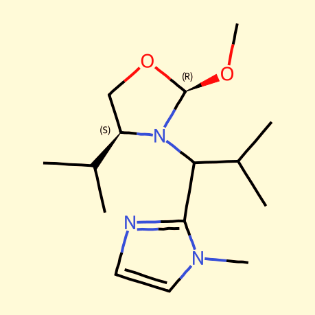 CO[C@@H]1OC[C@H](C(C)C)N1C(c1nccn1C)C(C)C